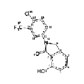 O=C1c2c(O)cccc2CN1c1ccc(Cl)c(C(F)(F)F)c1